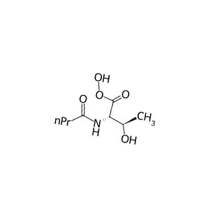 CCCC(=O)N[C@H](C(=O)OO)[C@@H](C)O